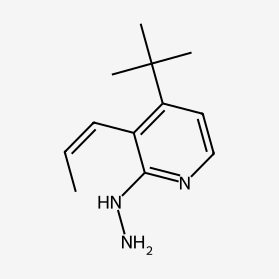 C/C=C\c1c(C(C)(C)C)ccnc1NN